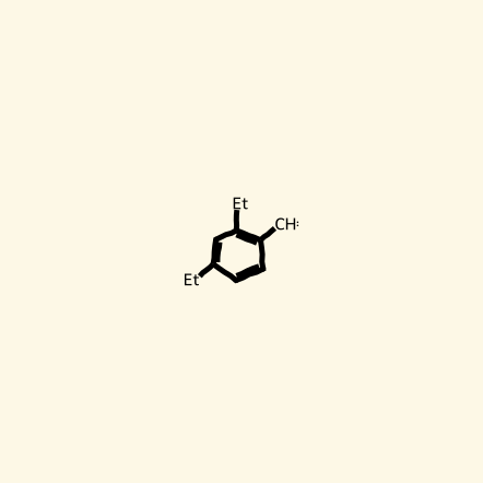 [CH]c1ccc(CC)cc1CC